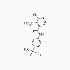 Cc1cc(C(F)(C(F)(F)F)C(F)(F)F)ccc1NC(=O)c1ccnc(Cl)c1C(=O)O